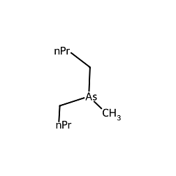 CCCC[As](C)CCCC